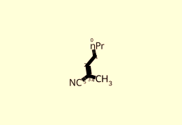 CCCCC=C(C)C#N